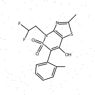 Cc1nc2c(s1)C(O)=C(c1ccccc1C)S(=O)(=O)N2CC(F)F